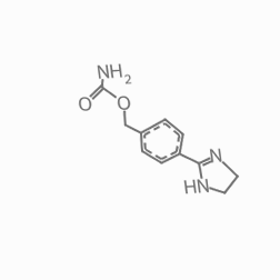 NC(=O)OCc1ccc(C2=NCCN2)cc1